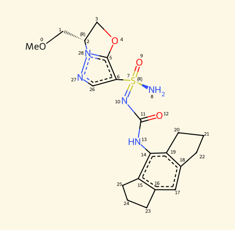 COC[C@@H]1COc2c([S@](N)(=O)=NC(=O)Nc3c4c(cc5c3CCC5)CCC4)cnn21